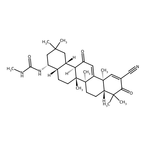 CNC(=O)N[C@@H]1CC(C)(C)C[C@H]2[C@@H]1CC[C@]1(C)[C@@H]2C(=O)C=C2[C@@]3(C)C=C(C#N)C(=O)C(C)(C)[C@@H]3CC[C@]21C